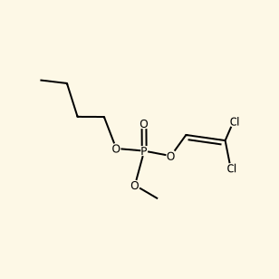 CCCCOP(=O)(OC)OC=C(Cl)Cl